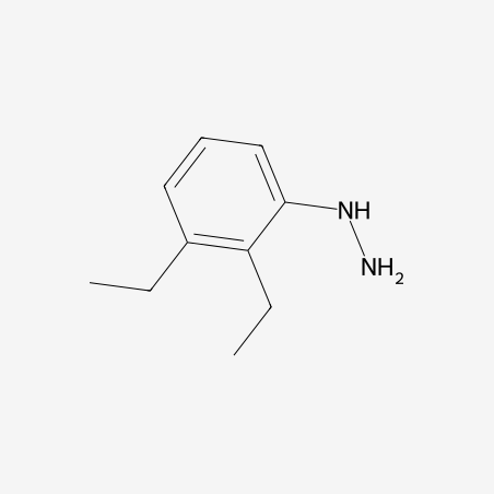 CCc1cccc(NN)c1CC